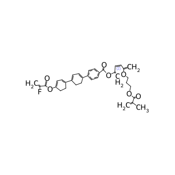 C=C(/C=C\C(=C)OC(=O)c1ccc(C2=CC=C(C3=CC=C(OC(=O)C(=C)F)CC3)CC2)cc1)OCCCOC(=O)C(=C)C